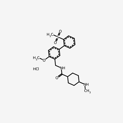 CNC1CCC(C(=O)NCc2cc(-c3ccccc3S(C)(=O)=O)ccc2OC)CC1.Cl